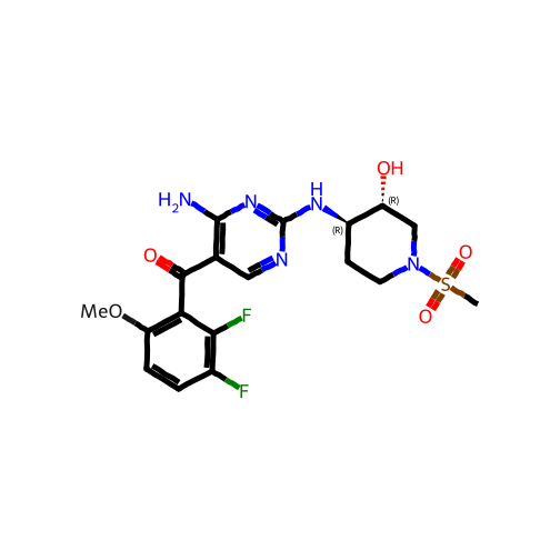 COc1ccc(F)c(F)c1C(=O)c1cnc(N[C@@H]2CCN(S(C)(=O)=O)C[C@H]2O)nc1N